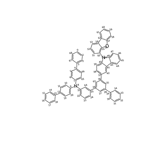 c1ccc(-c2ccc(N(c3ccc(-c4ccccc4)cc3)c3cccc(-c4cc(-c5ccccc5)cc(-c5ccc6c(c5)c5ccccc5n6-c5cccc6c5oc5ccccc56)c4)c3)cc2)cc1